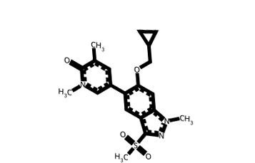 Cc1cc(-c2cc3c(S(C)(=O)=O)nn(C)c3cc2OCC2CC2)cn(C)c1=O